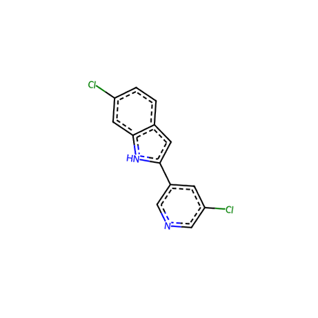 Clc1cncc(-c2cc3ccc(Cl)cc3[nH]2)c1